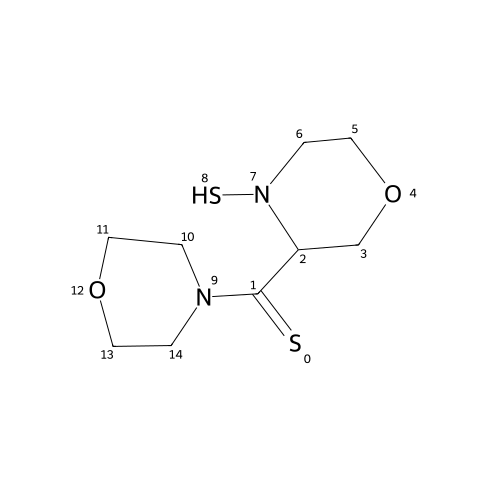 S=C(C1COCCN1S)N1CCOCC1